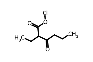 CCCC(=O)C(CC)C(=O)OCl